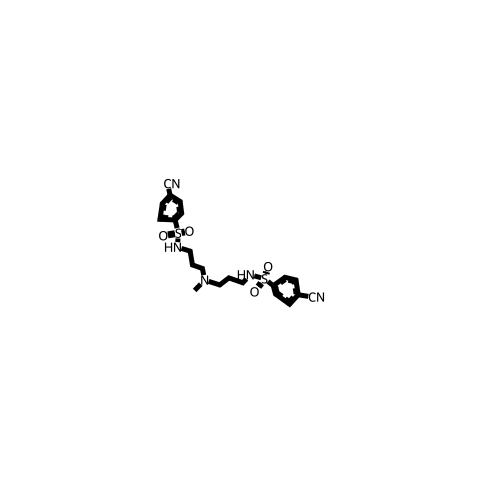 CN(CCCNS(=O)(=O)c1ccc(C#N)cc1)CCCNS(=O)(=O)c1ccc(C#N)cc1